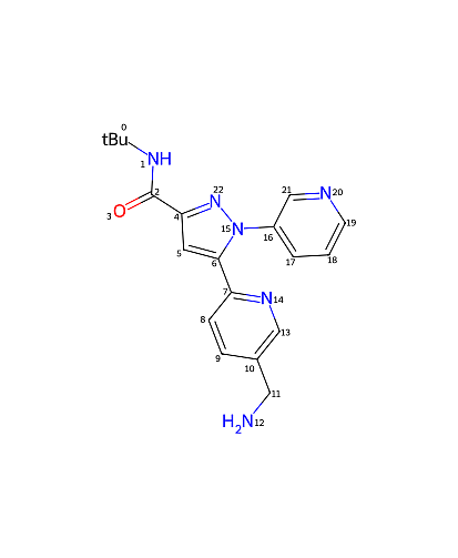 CC(C)(C)NC(=O)c1cc(-c2ccc(CN)cn2)n(-c2cccnc2)n1